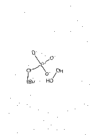 CC(C)(C)O[I+3]([O-])([O-])[O-].OO